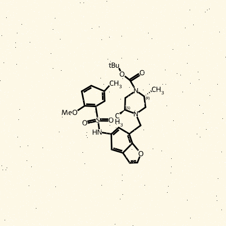 COc1ccc(C)cc1S(=O)(=O)Nc1cc(CN2C[C@@H](C)N(C(=O)OC(C)(C)C)C[C@@H]2C)c2occc2c1